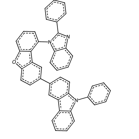 c1ccc(-c2nc3ccccc3n2-c2cccc3oc4ccc(-c5ccc6c(c5)c5ccccc5n6-c5ccccc5)cc4c23)cc1